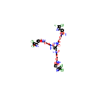 CC(C)C(CCC(=O)NCCOCCOCCNS(=O)(=O)c1cccc([C@@H]2CN(C)Cc3c(Cl)cc(Cl)cc32)c1)(CCC(=O)NCCOCCOCCNS(=O)(=O)c1cccc([C@@H]2CN(C)Cc3c(Cl)cc(Cl)cc32)c1)CCC(=O)NCCOCCOCCNS(=O)(=O)c1cccc([C@@H]2CN(C)Cc3c(Cl)cc(Cl)cc32)c1